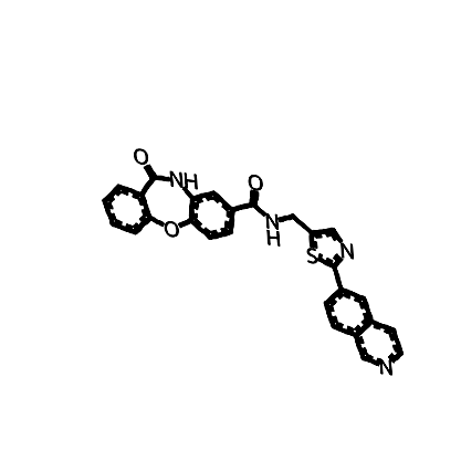 O=C(NCc1cnc(-c2ccc3cnccc3c2)s1)c1ccc2c(c1)NC(=O)c1ccccc1O2